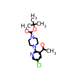 CC(=O)c1cc(Cl)cnc1N1CCN(C(=O)OC(C)(C)C)CC1